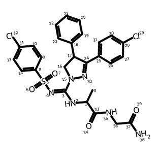 CC(N/C(=N/S(=O)(=O)c1ccc(Cl)cc1)N1CC(c2ccccc2)C(c2ccc(Cl)cc2)=N1)C(=O)NCC(N)=O